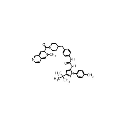 Cc1ccc(-n2nc(C(C)(C)C)cc2NC(=O)Nc2ccc(CC3CCN(C(=O)C4C=c5cnccc5=CN4C)CC3)cc2)cc1